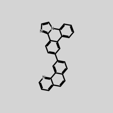 c1cnc2c(c1)ccc1ccc(-c3ccc4c(c3)c3ccccc3n3ccnc43)cc12